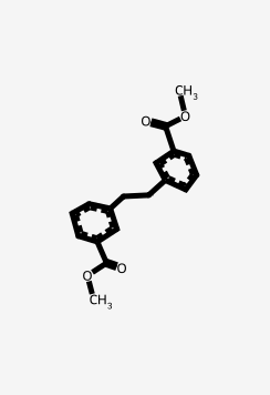 COC(=O)c1cccc([CH]Cc2cccc(C(=O)OC)c2)c1